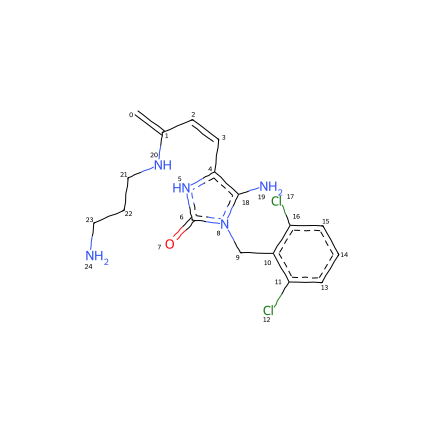 C=C(/C=C\c1[nH]c(=O)n(Cc2c(Cl)cccc2Cl)c1N)NCCCN